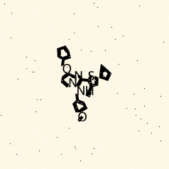 C#Cc1ccsc1-c1nc2c(OCc3ccccc3)cccn2c1NCc1ccc(OC)cc1.c1cc2cc-2c1